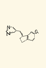 COc1ccc2c(c1)C(=Cc1cncnc1)CC2